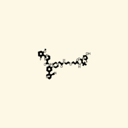 COc1cccc(F)c1-c1nccc(C(=O)Nc2ccc(-c3cnccc3C#N)cc2N2CCN(CC(=O)NCCOCCC(=O)N[C@H](C(=O)N3C[C@H](O)C[C@H]3C)C(C)(C)C)CC2)n1